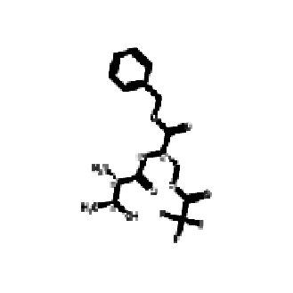 C[C@H](O)[C@H](N)C(=O)N[C@@H](COC(=O)C(F)(F)F)C(=O)OCc1ccccc1